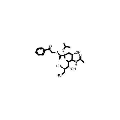 CC(=O)NC1C([C@H](O)[C@H](O)CO)O[C@@](OC(C)C)(C(=O)OCC(=O)c2ccccc2)C[C@H]1O